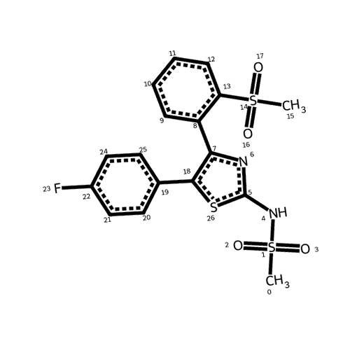 CS(=O)(=O)Nc1nc(-c2ccccc2S(C)(=O)=O)c(-c2ccc(F)cc2)s1